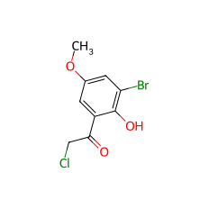 COc1cc(Br)c(O)c(C(=O)CCl)c1